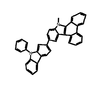 Cn1c2ccc(-c3ccc4c5ccccc5n(-c5ccccc5)c4c3)cc2c2c3ccccc3c3ccccc3c21